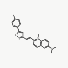 Cc1ccc(-c2cc(/C=C/c3ccc4cc(N(C)C)ccc4[n+]3C)no2)cc1